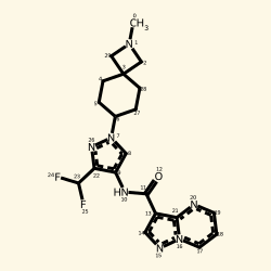 CN1CC2(CCC(n3cc(NC(=O)c4cnn5cccnc45)c(C(F)F)n3)CC2)C1